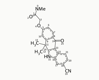 CNC(=O)COc1ccc2c(c1)C(C)(C)c1[nH]c3cc(C#N)ccc3c1C2=O